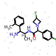 Cc1ccccc1C(N)[C@H](C)NC(=O)C(c1ccc(F)cc1)N1CC(F)C1